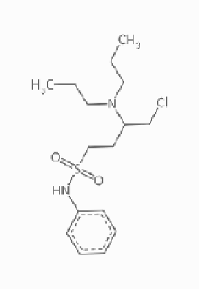 CCCN(CCC)C(CCl)CCS(=O)(=O)Nc1ccccc1